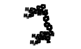 CC[C@H](NC(=O)OC)C(=O)N[C@H](c1ncc(-c2ccc(-c3ccc4cc(-c5cnc([C@@H]6CC7(CC7)CN6C(=O)[C@@H](NC(=O)OC)C(C)C)[nH]5)ccc4c3)cc2)[nH]1)C1CCCC1